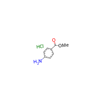 COC(=O)c1ccc(N)cc1.Cl